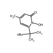 CCCCC(C)(C)c1cc(C)cc(=O)n1O